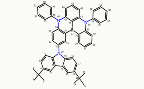 CC(C)(C)c1ccc2c(c1)c1cc(C(C)(C)C)ccc1n2-c1ccc2c(c1)B1c3ccccc3N(c3ccccc3)c3cccc(c31)N2c1ccccc1